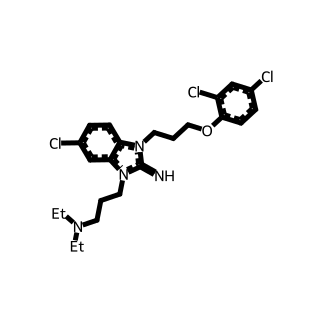 CCN(CC)CCCn1c(=N)n(CCCOc2ccc(Cl)cc2Cl)c2ccc(Cl)cc21